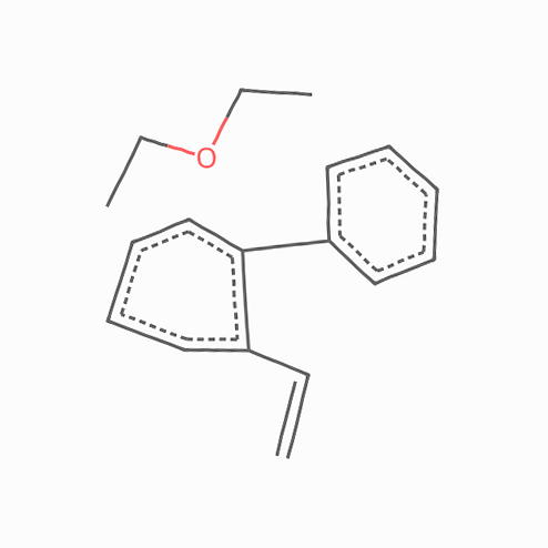 C=Cc1ccccc1-c1ccccc1.CCOCC